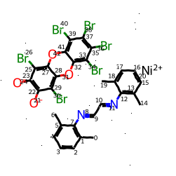 Cc1cccc(C)c1N=CC=Nc1c(C)cccc1C.[Ni+2].[O-]c1c([O-])c(Br)c2c(c1Br)Oc1c(Br)c(Br)c(Br)c(Br)c1O2